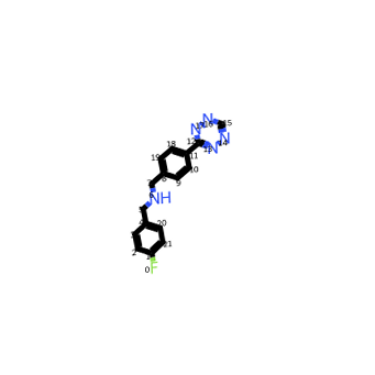 Fc1ccc(CNCc2ccc(-c3nncnn3)cc2)cc1